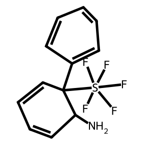 NC1C=CC=CC1(c1ccccc1)S(F)(F)(F)(F)F